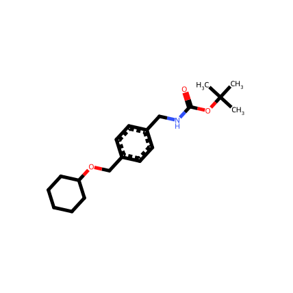 CC(C)(C)OC(=O)NCc1ccc(COC2CCCCC2)cc1